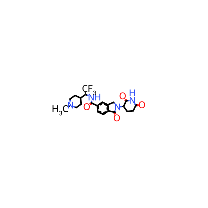 CN1CCC(C(NC(=O)c2ccc3c(c2)CN(C2CCC(=O)NC2=O)C3=O)C(F)(F)F)CC1